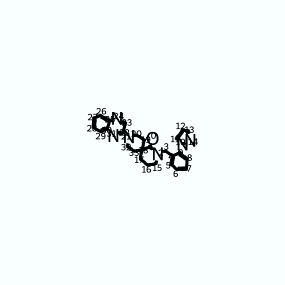 O=C1N(Cc2ccccc2-n2cccn2)CCCC12CCN(c1cnc3ccccc3n1)CC2